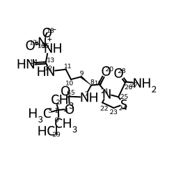 CC(C)(C)OC(=O)N[C@@H](CCCNC(=N)N[N+](=O)[O-])C(=O)N1CCSC1C(N)=O.Cl